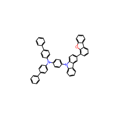 c1ccc(-c2ccc(N(c3ccc(-c4ccccc4)cc3)c3ccc(-n4c5ccccc5c5cc(-c6cccc7c6oc6ccccc67)ccc54)cc3)cc2)cc1